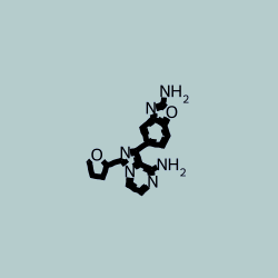 Nc1nc2cc(-c3nc(C4CCCO4)n4ccnc(N)c34)ccc2o1